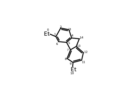 CCc1c[c]c2c(c1)-c1cc(CC)ccc1C2